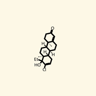 CCC1(O)C(Cl)=CC[C@H]2[C@@H]3CCC4=CC(=O)CC[C@]4(C)[C@H]3CC[C@@]21C